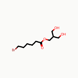 O=C(CCCCCBr)OCC(CO)CO